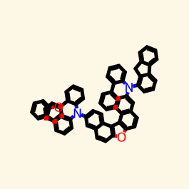 c1ccc(-c2ccccc2N(c2ccc3c(ccc4oc5ccc6cc(N(c7ccccc7-c7ccccc7)c7cccc8c7oc7ccccc78)ccc6c5c43)c2)c2cccc3c2Cc2ccccc2-3)cc1